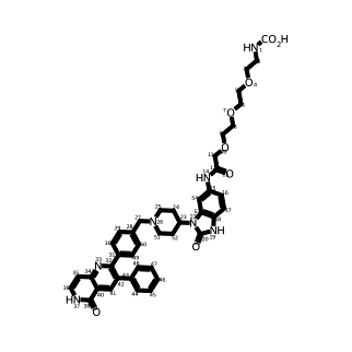 O=C(O)NCCOCCOCCOCC(=O)Nc1ccc2[nH]c(=O)n(C3CCN(Cc4ccc(-c5nc6cc[nH]c(=O)c6cc5-c5ccccc5)cc4)CC3)c2c1